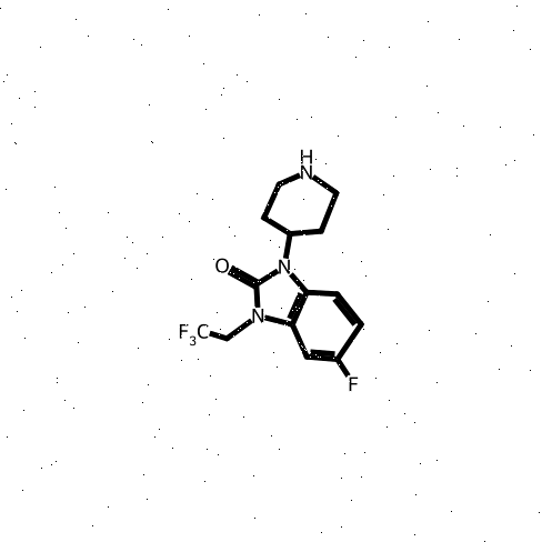 O=c1n(CC(F)(F)F)c2cc(F)ccc2n1C1CCNCC1